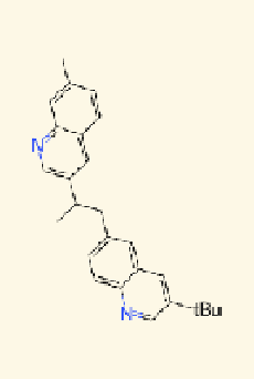 Cc1ccc2cc(C(C)Cc3ccc4ncc(C(C)(C)C)cc4c3)cnc2c1